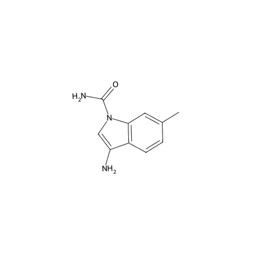 Cc1ccc2c(N)cn(C(N)=O)c2c1